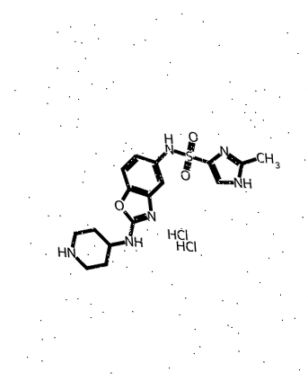 Cc1nc(S(=O)(=O)Nc2ccc3oc(NC4CCNCC4)nc3c2)c[nH]1.Cl.Cl